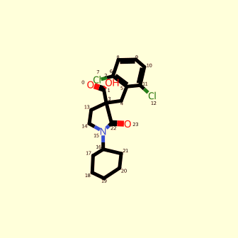 O=C(O)C1(Cc2c(Cl)cccc2Cl)CCN(C2CCCCC2)C1=O